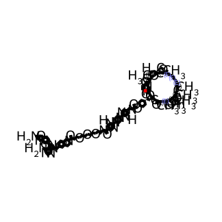 CO[C@H]1CC2CC[C@@H](C)C(O2)C(=O)C(=O)N2CCCC[C@H]2C(=O)O[C@H](CC[C@H]2CC[C@H](OC(=O)NCc3cnc(N4CCN(c5ncc(C(=O)NCCOCCOCCOCCC(=O)N6CCc7cc(Cn8nc(-c9ccc%10oc(N)nc%10c9)c9c(N)ncnc98)ccc7C6)cn5)CC4)nc3)CC2)CC(=O)[C@H](C)/C=C(\C)[C@@H](O)[C@@H](OC)C(=O)[C@H](C)C[C@H](C)/C=C/C=C/C=C/1C